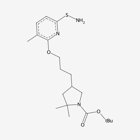 Cc1ccc(SN)nc1OCCCC1CN(C(=O)OC(C)(C)C)C(C)(C)C1